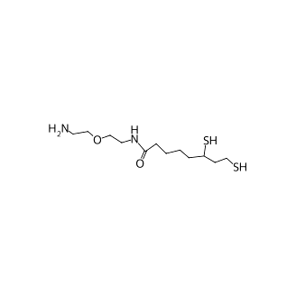 NCCOCCNC(=O)CCCCC(S)CCS